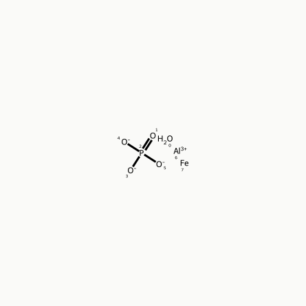 O.O=P([O-])([O-])[O-].[Al+3].[Fe]